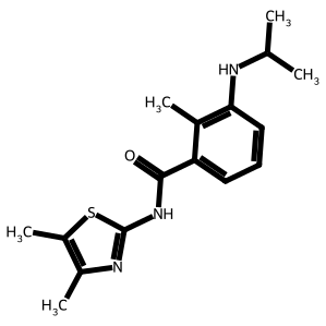 Cc1nc(NC(=O)c2cccc(NC(C)C)c2C)sc1C